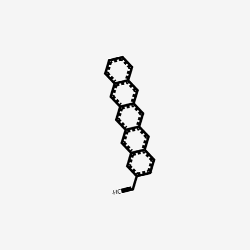 [CH]=Cc1[c]cc2cc3cc4cc5ccccc5cc4cc3cc2c1